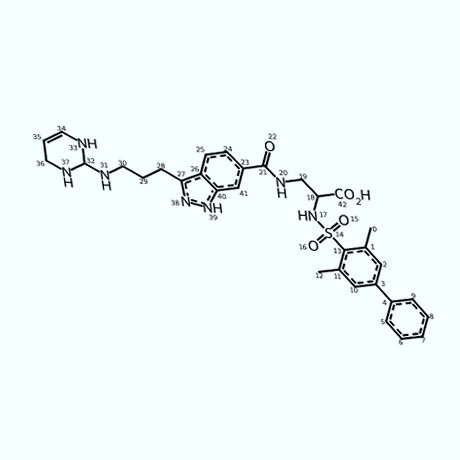 Cc1cc(-c2ccccc2)cc(C)c1S(=O)(=O)NC(CNC(=O)c1ccc2c(CCCNC3NC=CCN3)n[nH]c2c1)C(=O)O